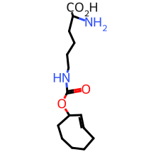 NC(CCCCNC(=O)OC1/C=C/CCCCC1)C(=O)O